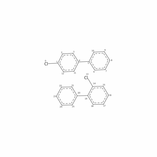 Clc1ccc(-c2ccccc2)cc1.Clc1ccccc1-c1ccccc1